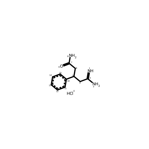 Cl.N=C(N)CC(CC(N)=O)c1ccccc1